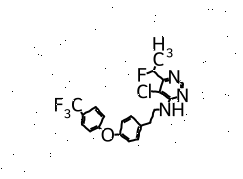 CC(F)c1ncnc(NCCc2ccc(Oc3ccc(C(F)(F)F)cc3)cc2)c1Cl